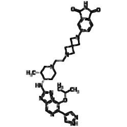 CC(C)Oc1c(-c2cn[nH]c2)ncc2nc(N[C@H]3CCN(CCN4CC5(C4)CN(c4ccc6c(c4)C(=O)NC6=O)C5)C[C@H]3C)nn12